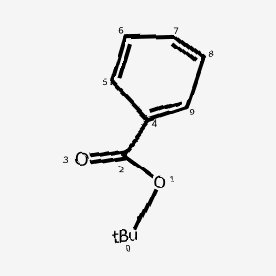 CC(C)(C)OC(=O)c1[c]cccc1